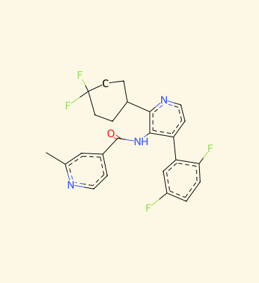 Cc1cc(C(=O)Nc2c(-c3cc(F)ccc3F)ccnc2C2CCC(F)(F)CC2)ccn1